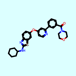 O=C(c1cccc(-c2cc(Oc3ccc4nc(NC5CCCCC5)sc4c3)ccn2)c1)N1CCOCC1